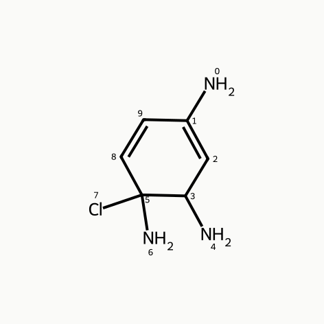 NC1=CC(N)C(N)(Cl)C=C1